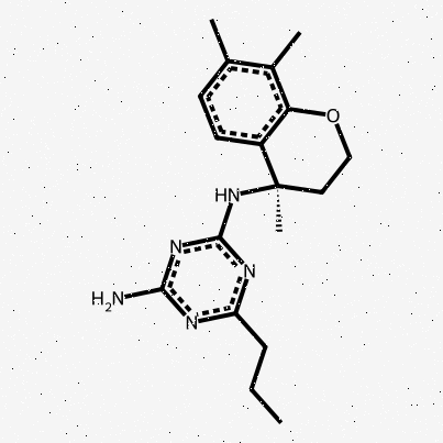 CCCc1nc(N)nc(N[C@]2(C)CCOc3c2ccc(C)c3C)n1